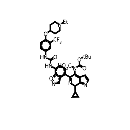 CCN1CCC(Oc2ccc(NC(=O)Nc3ccc(C4=NC(C5CC5)C5=NC=CC5=C4N(C(=O)O)C(=O)OC(C)(C)C)c4cnoc34)cc2C(F)(F)F)CC1